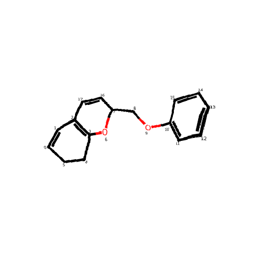 C1=CC2=C(CC1)OC(COc1ccccc1)C=C2